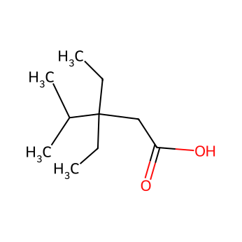 CCC(CC)(CC(=O)O)C(C)C